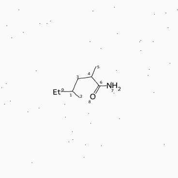 CCC(C)CC(C)C(N)=O